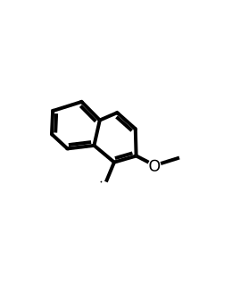 [CH2]c1c(OC)ccc2ccccc12